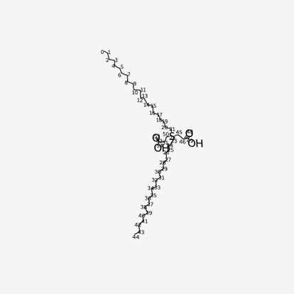 CCCCCCCCCCCCCCCCCCCCCCS(CCCCCCCCCCCCCCCCCCCCCC)(CCC(=O)O)CCC(=O)O